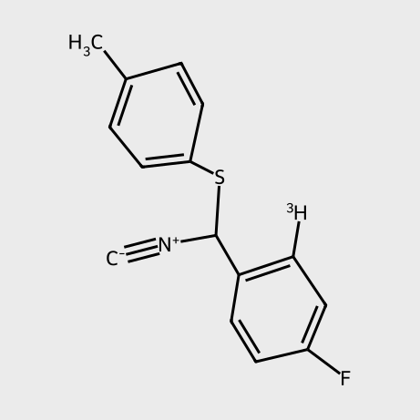 [3H]c1cc(F)ccc1C([N+]#[C-])Sc1ccc(C)cc1